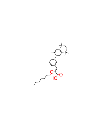 CCCCCCCOC(=Cc1cccc(-c2cc3c(cc2C)C(C)(C)CCC3(C)C)c1)C(=O)O